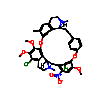 COc1cc([N+](=O)[O-])c2c(Cl)c1Oc1ccc(cc1)C[C@H]1c3cc(c(C)cc3CCN1C)Oc1c(OC)c(OC)c(Cl)c3c1[C@H](C2)N(C)CC3